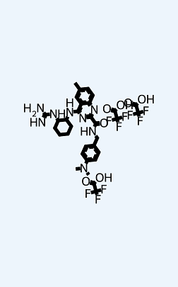 Cc1ccc2nc(C(=O)NCc3ccc(N(C)C)cc3)nc(NC3CCCCC3NC(=N)N)c2c1.O=C(O)C(F)(F)F.O=C(O)C(F)(F)F.O=C(O)C(F)(F)F